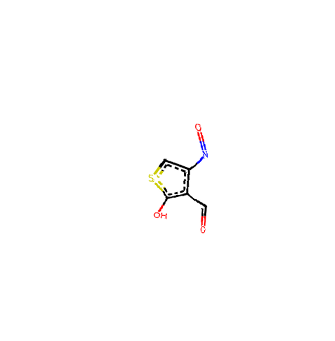 O=Cc1c(N=O)csc1O